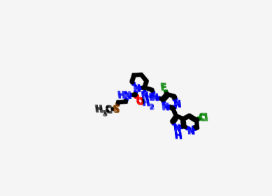 CSCCNC(=O)N1CCCC[C@]1(N)CNc1nc(-c2c[nH]c3ncc(Cl)cc23)ncc1F